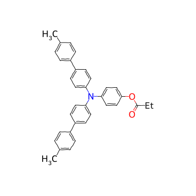 CCC(=O)Oc1ccc(N(c2ccc(-c3ccc(C)cc3)cc2)c2ccc(-c3ccc(C)cc3)cc2)cc1